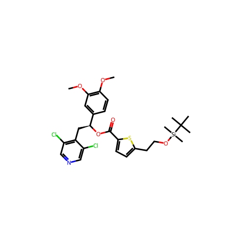 COc1ccc([C@H](Cc2c(Cl)cncc2Cl)OC(=O)c2ccc(CCO[Si](C)(C)C(C)(C)C)s2)cc1OC